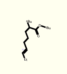 CC/C=C/CCCC(CCCC)C(=O)OC(C)(C)C